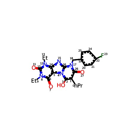 CCCc1c(O)n2c3c(=O)n(CC)c(=O)n(CC)c3nc2n(Cc2ccc(F)cc2)c1=O